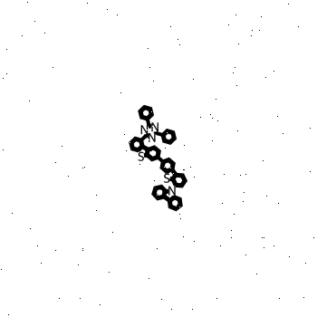 c1ccc(-c2nc(-c3ccccc3)nc(-c3cccc4sc5cc(-c6ccc7c(c6)sc6c(-n8c9ccccc9c9ccccc98)cccc67)ccc5c34)n2)cc1